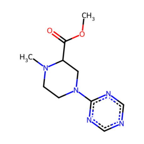 COC(=O)C1CN(c2ncncn2)CCN1C